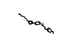 CCCCCCCc1ccc(C2CCC(OCCCC3CCC(CC)CC3)CC2)cc1